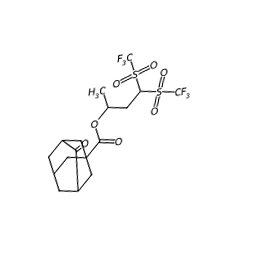 CC(CC(S(=O)(=O)C(F)(F)F)S(=O)(=O)C(F)(F)F)OC(=O)C12CC3CC(C1)C(=O)C(C3)C2